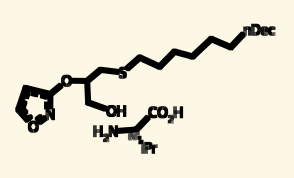 CC(C)[C@H](N)C(=O)O.CCCCCCCCCCCCCCCCSCC(CO)Oc1ccon1